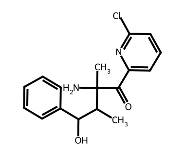 CC(C(O)c1ccccc1)C(C)(N)C(=O)c1cccc(Cl)n1